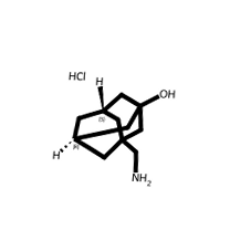 Cl.NCC12C[C@@H]3C[C@@H](CC(O)(C3)C1)C2